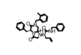 C=CCN(C(=O)NCc1ccccc1)N1CC(=O)N2[C@@H](Cc3ccccc3)C(=O)N(Cc3ccccc3C)C[C@@H]21